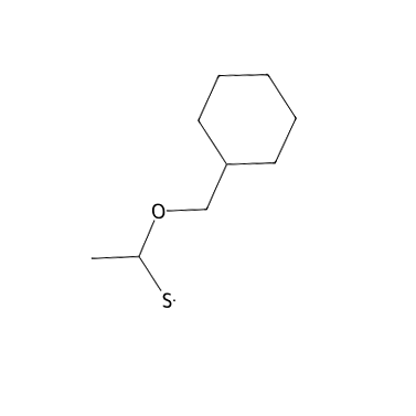 CC([S])OCC1CCCCC1